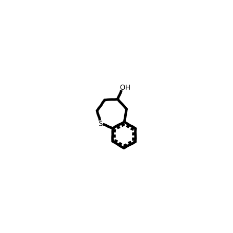 OC1CCSc2ccccc2C1